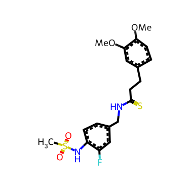 COc1ccc(CCC(=S)NCc2ccc(NS(C)(=O)=O)c(F)c2)cc1OC